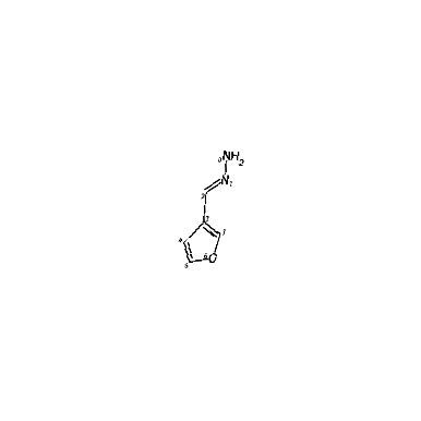 N/N=C/c1ccoc1